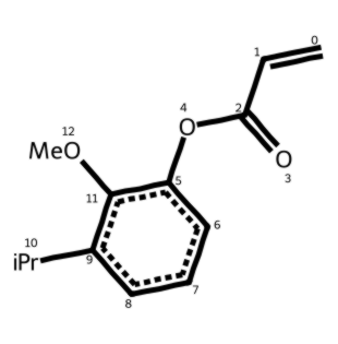 C=CC(=O)Oc1cccc(C(C)C)c1OC